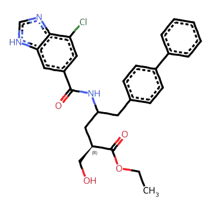 CCOC(=O)[C@@H](CO)CC(Cc1ccc(-c2ccccc2)cc1)NC(=O)c1cc(Cl)c2nc[nH]c2c1